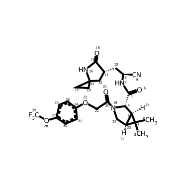 CC1(C)[C@@H]2[C@@H](C(=O)N[C@H](C#N)C[C@@H]3CC4(CC4)NC3=O)N(C(=O)COc3ccc(OC(F)(F)F)cc3)C[C@@H]21